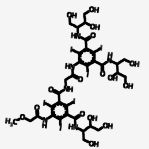 COCC(=O)Nc1c(I)c(C(=O)NCC(=O)Nc2c(I)c(C(=O)NC(CO)C(O)CO)c(I)c(C(=O)NC(CO)C(O)CO)c2I)c(I)c(C(=O)NC(CO)C(O)CO)c1I